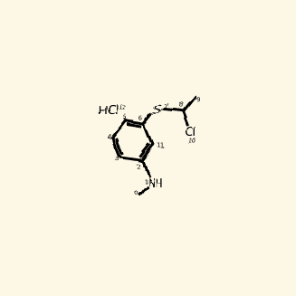 CNc1cccc(SC(C)Cl)c1.Cl